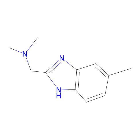 Cc1ccc2[nH]c(CN(C)C)nc2c1